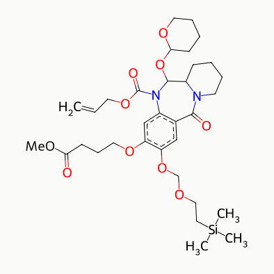 C=CCOC(=O)N1c2cc(OCCCC(=O)OC)c(OCOCC[Si](C)(C)C)cc2C(=O)N2CCCCC2C1OC1CCCCO1